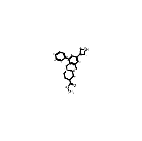 COC(=O)C1CCN(Cc2c(I)cc(C3CNC3)cc2-c2ccccc2)CC1